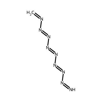 C=NN=NN=NN=NN=N